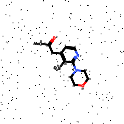 COC(=O)Cc1ccnc(N2CCOCC2)c1[N+](=O)[O-]